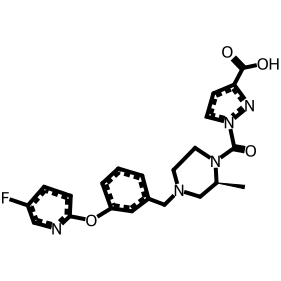 C[C@H]1CN(Cc2cccc(Oc3ccc(F)cn3)c2)CCN1C(=O)n1ccc(C(=O)O)n1